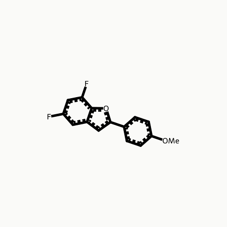 COc1ccc(-c2cc3cc(F)cc(F)c3o2)cc1